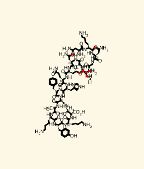 CC(C)C[C@H](NC(=O)[C@H](Cc1ccccc1)NC(=O)[C@H](Cc1c[nH]cn1)NC(=O)[C@H](CCC(N)=O)NC(=O)[C@H](CCCNC(=N)N)NC(=O)[C@H](CC(N)=O)NC(=O)[C@H](C)NC(=O)[C@H](CS)NC(=O)CNC(=O)[C@H](CC(N)=O)NC(=O)[C@H](CCCCN)NC(=O)[C@@H](N)CC(N)=O)C(=O)N[C@@H](CS)C(=O)N[C@@H](CCCCN)C(=O)N[C@@H](Cc1ccc(O)cc1)C(=O)N[C@@H](CCCCN)C(=O)N[C@H](C(=O)O)[C@@H](C)O